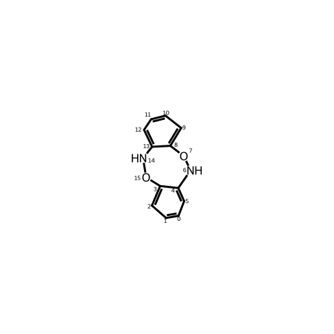 c1ccc2c(c1)NOc1ccccc1NO2